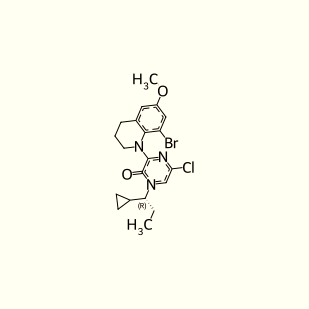 CC[C@H](C1CC1)n1cc(Cl)nc(N2CCCc3cc(OC)cc(Br)c32)c1=O